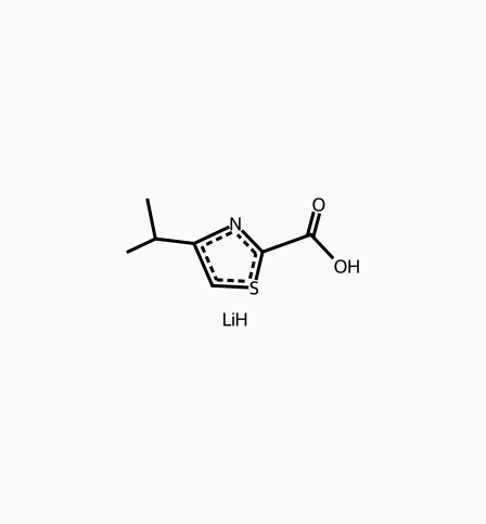 CC(C)c1csc(C(=O)O)n1.[LiH]